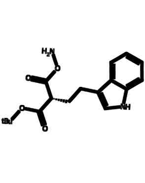 CC(C)(C)OC(=O)[C@@H](CCc1c[nH]c2ccccc12)C(=O)ON